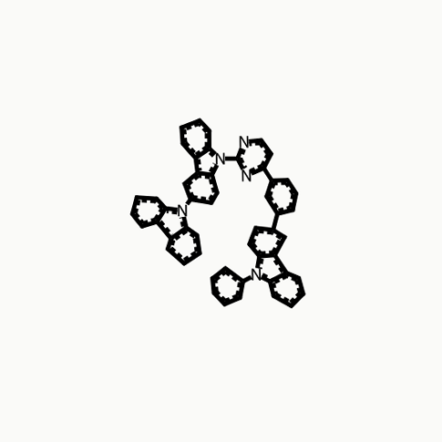 c1ccc(-n2c3ccccc3c3cc(-c4cccc(-c5ccnc(-n6c7ccccc7c7cc(-n8c9ccccc9c9ccccc98)ccc76)n5)c4)ccc32)cc1